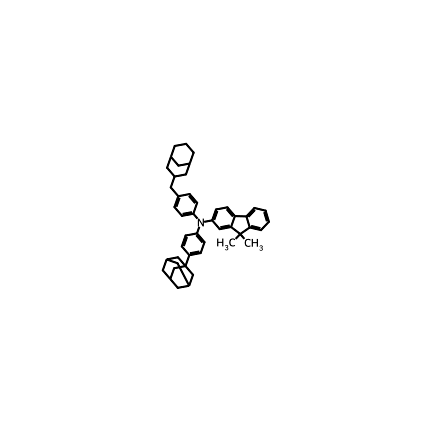 CC1(C)c2ccccc2-c2ccc(N(c3ccc(CC4CC5CCCC(C5)C4)cc3)c3ccc(C45CC6CC(CC(C6)C4)C5)cc3)cc21